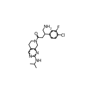 CC(C)Nc1ncc2c(n1)CN(C(=O)CC(CN)c1ccc(Cl)c(F)c1)CC2